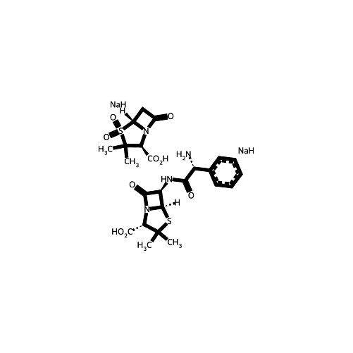 CC1(C)S[C@@H]2[C@H](NC(=O)[C@H](N)c3ccccc3)C(=O)N2[C@H]1C(=O)O.CC1(C)[C@H](C(=O)O)N2C(=O)C[C@H]2S1(=O)=O.[NaH].[NaH]